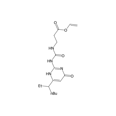 C=COC(=O)CCNC(=O)Nc1nc(=O)cc(C(CC)CCCC)[nH]1